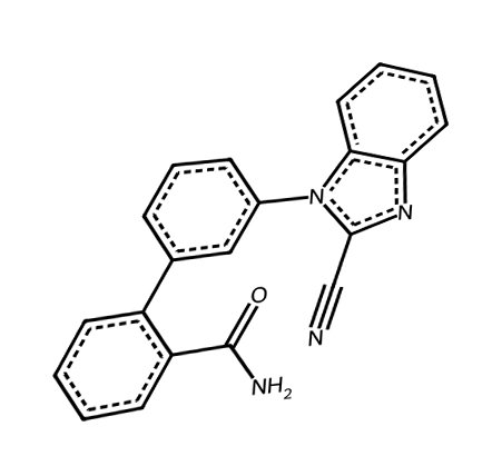 N#Cc1nc2ccccc2n1-c1cccc(-c2ccccc2C(N)=O)c1